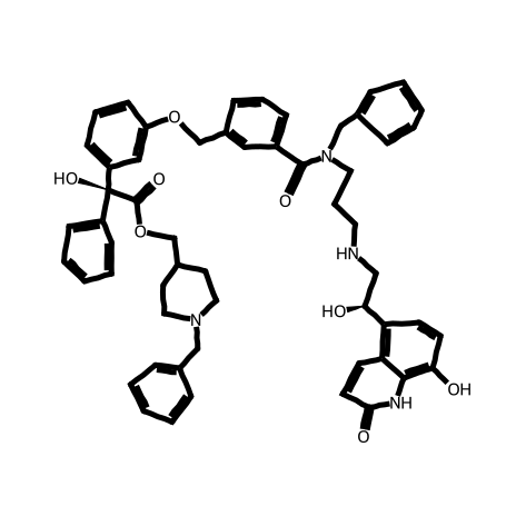 O=C(c1cccc(COc2cccc([C@](O)(C(=O)OCC3CCN(Cc4ccccc4)CC3)c3ccccc3)c2)c1)N(CCCNC[C@H](O)c1ccc(O)c2[nH]c(=O)ccc12)Cc1ccccc1